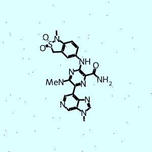 CNc1nc(Nc2ccc3c(c2)CS(=O)(=O)N3C)c(C(N)=O)nc1-c1cncc2c1ncn2C